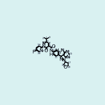 CC(C)c1cc(C(=O)Nc2ccc(-c3nn(C4CCOC4)c4ncnc(N)c34)cc2)c(=O)n(-c2ccc(F)cn2)n1